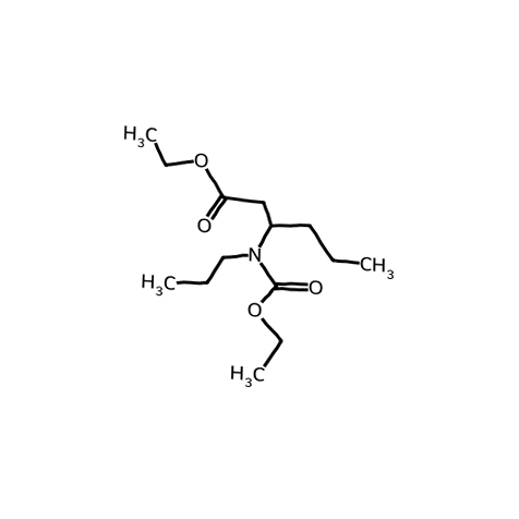 CCCC(CC(=O)OCC)N(CCC)C(=O)OCC